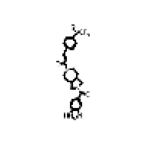 O=C(/C=C/c1ccc([S+]([O-])C(F)(F)F)cc1)N1CCC2CN(C(=O)c3ccc4[nH]nnc4c3)CC2CC1